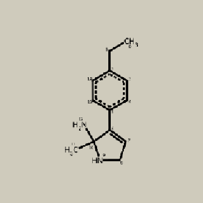 CCc1ccc(C2=CCNC2(C)N)cc1